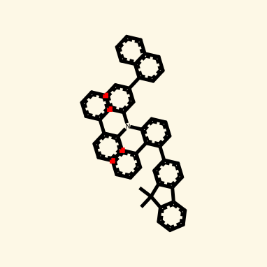 CC1(C)c2ccccc2-c2ccc(-c3cccc(N(c4cccc(-c5cccc6ccccc56)c4)c4ccccc4-c4ccccc4)c3-c3ccccc3)cc21